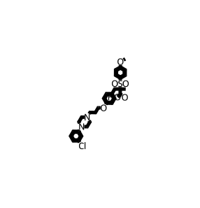 COc1ccc(S(=O)(=O)C(C)(Cc2ccc(OCCCN3CCN(c4cccc(Cl)c4)CC3)cc2)C(=O)O)cc1